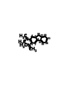 CN(C)c1[c]c2c(cc1N(C)C)-c1ccccc1C2